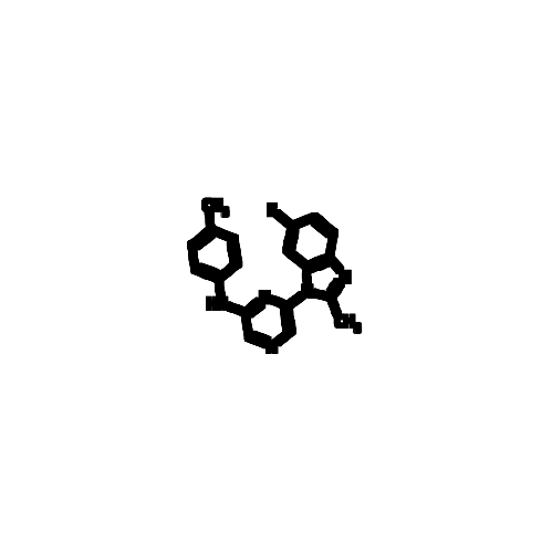 Cc1ccc(Nc2cncc(-n3c(C)nc4ccc(F)cc43)n2)cc1